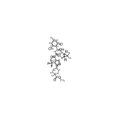 CCOC(=O)C1(C)CCC(n2ncc(C(=O)N(CC(O)c3c(Cl)cc(C)cc3Cl)[C@H]3C[C@@H]4[C@H](C3)C4(C)C)c2C(F)(F)F)CC1